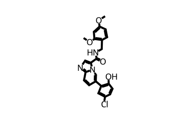 COc1ccc(CNC(=O)c2cnc3ccc(-c4cc(Cl)ccc4O)cn23)c(OC)c1